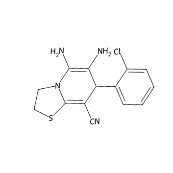 N#CC1=C2SCCN2C(N)=C(N)C1c1ccccc1Cl